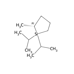 CC(C)[Si]1(C(C)C)CCC[C@H]1C